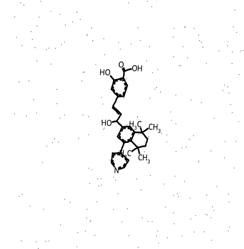 CC1(C)CCC(C)(C)c2c(-c3ccncc3)cc(C(O)C=Cc3ccc(C(=O)O)c(O)c3)cc21